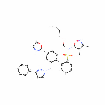 COCCOCN(c1onc(C)c1C)S(=O)(=O)c1ccccc1-c1ccc(-c2ncco2)cc1Cn1ccc(-c2ccccc2)n1